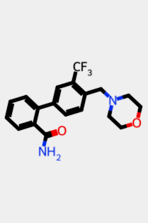 NC(=O)c1ccccc1-c1ccc(CN2CCOCC2)c(C(F)(F)F)c1